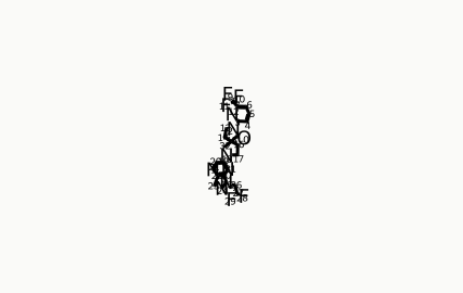 O=C1N(c2cccc(C(F)(F)F)n2)CCC12CCN(c1cnc3cnn(CC(F)F)c3n1)C2